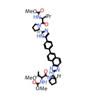 COC(=O)NC(C(=O)N1CCC[C@H]1c1ncc(-c2ccc(-c3ccc4c(ccc5nc([C@@H]6[C@H]7CCC(C7)N6C(=O)C(NC(=O)OC)[C@@H](C)OC)[nH]c54)c3)cc2)[nH]1)C(C)C